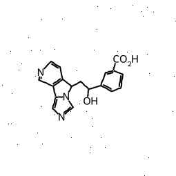 O=C(O)c1cccc(C(O)CC2c3ccncc3-c3cncn32)c1